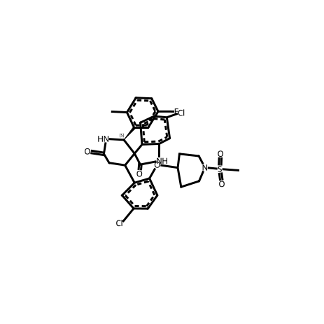 Cc1ccc(F)cc1[C@@H]1NC(=O)CC(c2cc(Cl)ccc2OC2CCN(S(C)(=O)=O)CC2)C12C(=O)Nc1cc(Cl)ccc12